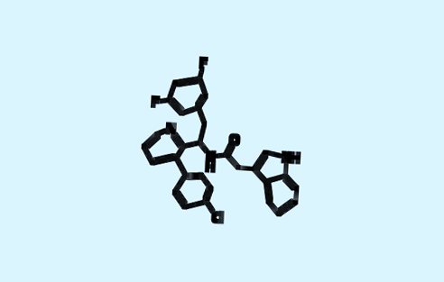 O=C(Cc1c[nH]c2ccccc12)NC(Cc1cc(F)cc(F)c1)c1ncccc1-c1ccc(Cl)cc1